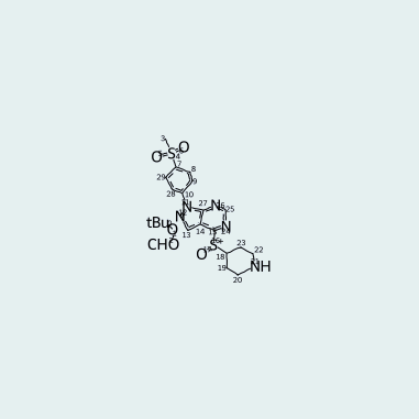 CC(C)(C)OC=O.CS(=O)(=O)c1ccc(-n2ncc3c([S+]([O-])C4CCNCC4)ncnc32)cc1